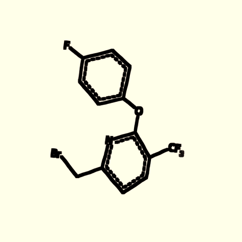 Fc1ccc(Oc2nc(CBr)ccc2C(F)(F)F)cc1